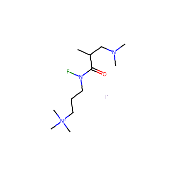 CC(CN(C)C)C(=O)N(F)CCC[N+](C)(C)C.[I-]